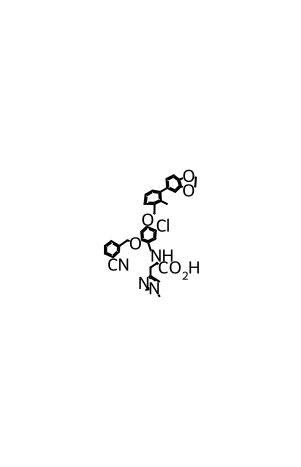 Cc1c(COc2cc(OCc3cccc(C#N)c3)c(CNC(Cc3cn(C)cn3)C(=O)O)cc2Cl)cccc1-c1ccc2c(c1)OCCO2